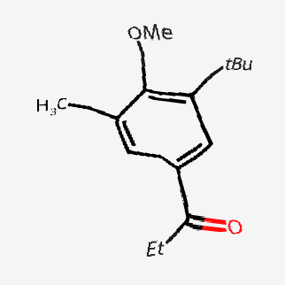 CCC(=O)c1cc(C)c(OC)c(C(C)(C)C)c1